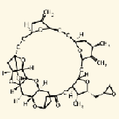 C=C1C[C@@H]2CC[C@@]34C[C@@]5(I)O[C@H]6[C@@H](O3)[C@H]3OC(CC[C@@H]3O[C@@]6(I)[C@H]5O4)CC(=O)C[C@@H]3[C@@H](C)[C@@H](C[C@H]4CO4)O[C@H]3CC3O[C@@H](CCC1O2)C[C@@H](C)C3=C